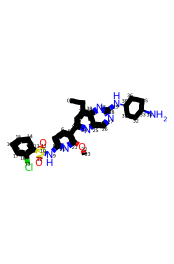 CCc1cc(-c2ccc(NS(=O)(=O)c3ccccc3Cl)nc2OC)nc2cnc(N[C@H]3CC[C@H](N)CC3)nc12